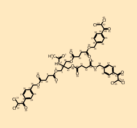 CC(=O)NC(COC(=O)CCC(=O)OCc1ccc(C(=O)C(Cl)Cl)cc1)(COC(=O)CCC(=O)OCc1ccc(C(=O)C(Cl)Cl)cc1)COC(=O)CCC(=O)OCc1ccc(C(=O)C(Cl)Cl)cc1